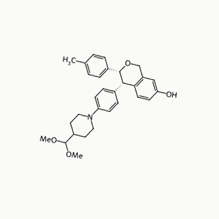 COC(OC)C1CCN(c2ccc([C@H]3c4ccc(O)cc4CO[C@H]3c3ccc(C)cc3)cc2)CC1